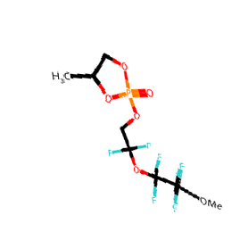 COC(F)(F)C(F)(F)OC(F)(F)COP1(=O)OCC(C)O1